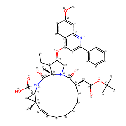 CCC1[C@@H](Oc2cc(-c3ccccc3)nc3cc(OC)ccc23)CN2C(=O)[C@@H](CC(=O)OC(C)(C)C)CCCCCC=C[C@@H]3C[C@@]3(C(=O)O)NC(=O)[C@H]12